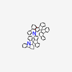 c1ccc(-c2ccccc2N(c2ccc3c(c2)C2(c4ccccc4-3)c3ccccc3-c3c2ccc2ccccc32)c2ccc3c(c2)C2(c4ccccc4-3)c3ccccc3N3c4ccccc4C4CCCC2C43)cc1